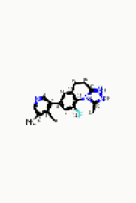 Cc1c(C#N)cncc1-c1cc(F)c2c(c1)CCc1nnc(C)n1-2